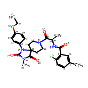 Cc1ccc(F)c(C(=O)N[C@@H](C(=O)N2CCC3(CC2)C(=O)N(C)C(=O)N3c2ccc(OCC#N)cc2)C(C)C)c1